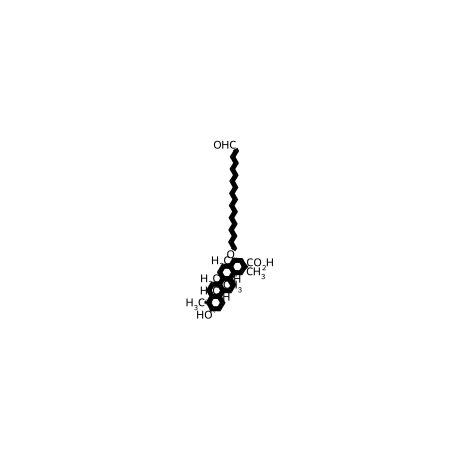 C[C@H]1C2CC[C@]3(C)[C@H](CC=C4[C@H]5CC(C)(C(=O)O)C[C@H](OCCCCCCCCCCCCCCCCCC=O)[C@]5(C)CC[C@]43C)[C@@]2(C)CC[C@H]1O